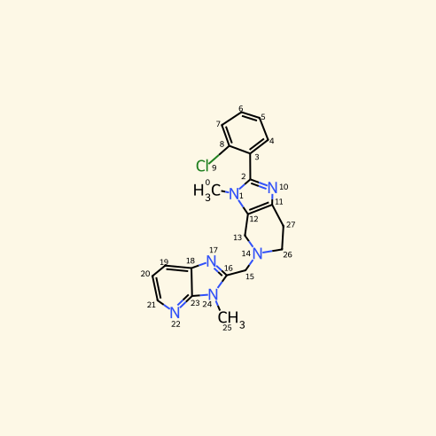 Cn1c(-c2ccccc2Cl)nc2c1CN(Cc1nc3cccnc3n1C)CC2